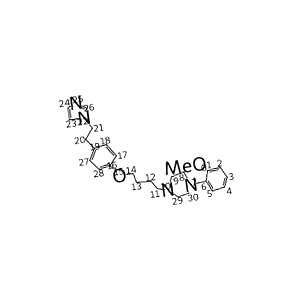 COc1ccccc1N1CCN(CCCCOc2ccc(CCn3ccnc3)cc2)CC1